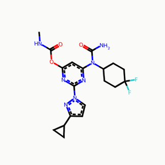 CNC(=O)Oc1cc(N(C(N)=O)C2CCC(F)(F)CC2)nc(-n2ccc(C3CC3)n2)n1